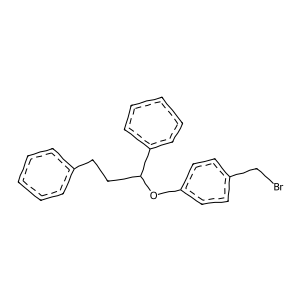 BrCc1ccc(OC(CCc2ccccc2)c2ccccc2)cc1